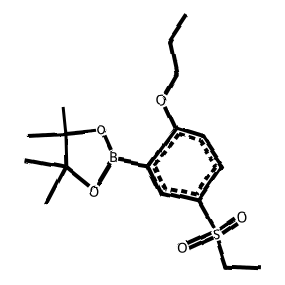 CCCOc1ccc(S(=O)(=O)CC)cc1B1OC(C)(C)C(C)(C)O1